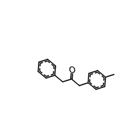 Cc1ccc(CC(=O)Cc2ccccc2)cc1